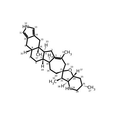 CC1=C2C[C@H]3[C@@H](CC[C@@H]4Cc5c[nH]cc5C[C@@]43C)[C@@H]2CC[C@@]2(C1)O[C@@H]1C[C@H](C)CN[C@H]1[C@H]2C